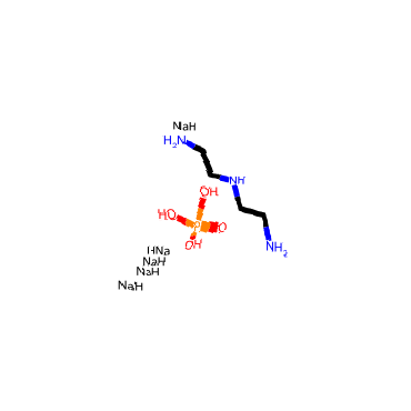 NCCNCCN.O=P(O)(O)O.[NaH].[NaH].[NaH].[NaH].[NaH]